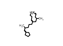 C=CCC(C)CC(=CCCC)CCCC(C)C=C1CCCC1